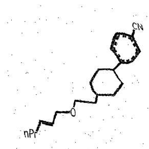 CCC/C=C/COCCC1CCC(c2ccc(C#N)cc2)CC1